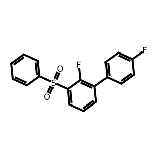 O=S(=O)(c1ccccc1)c1cccc(-c2ccc(F)cc2)c1F